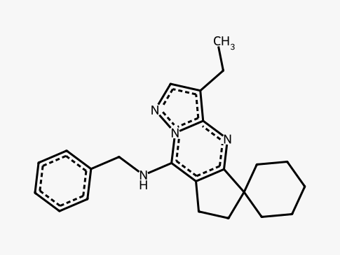 CCc1cnn2c(NCc3ccccc3)c3c(nc12)C1(CCCCC1)CC3